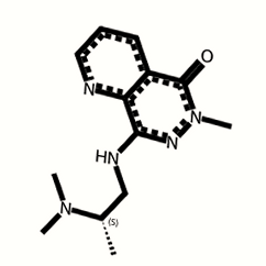 C[C@@H](CNc1nn(C)c(=O)c2cccnc12)N(C)C